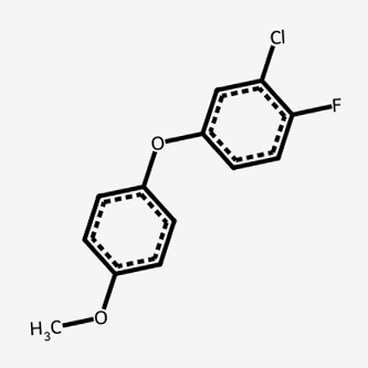 COc1ccc(Oc2ccc(F)c(Cl)c2)cc1